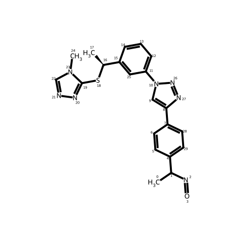 CC(N=O)c1ccc(-c2cn(-c3cccc([C@H](C)Sc4nncn4C)c3)nn2)cc1